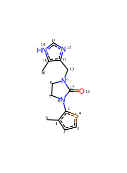 Cc1ccsc1N1CCN(Cc2nc[nH]c2C)C1=O